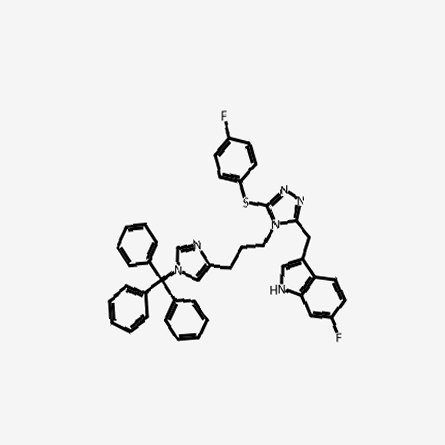 Fc1ccc(Sc2nnc(Cc3c[nH]c4cc(F)ccc34)n2CCCc2cn(C(c3ccccc3)(c3ccccc3)c3ccccc3)cn2)cc1